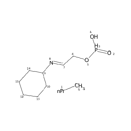 CCCC.O=[PH](O)OC/C=N/C1CCCCC1